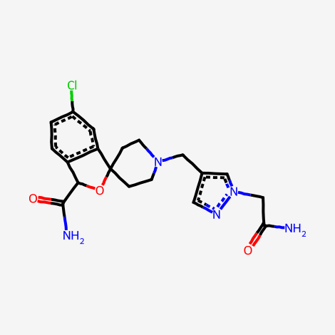 NC(=O)Cn1cc(CN2CCC3(CC2)OC(C(N)=O)c2ccc(Cl)cc23)cn1